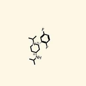 CC(C)N[C@@H]1CCN(C(C)C)[C@H](c2cc(F)ccc2F)C1